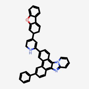 C1=C(c2ccc3c(c2)c2cc(-c4ccccc4)ccc2c2nc4ccccn4c32)NCC=C1C1C=c2oc3ccccc3c2=CC1